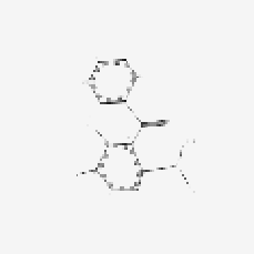 CCCCN(CCCC)c1ccc(C(=O)O)c(O)c1C(=O)c1ccccc1